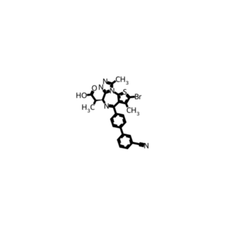 Cc1c(Br)sc2c1C(c1ccc(-c3cccc(C#N)c3)cc1)=N[C@@H](C(C)C(=O)O)c1nnc(C)n1-2